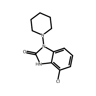 O=c1[nH]c2c(Cl)cccc2n1N1CCCCC1